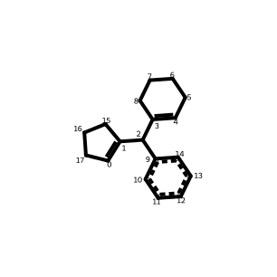 C1=C(C(C2=CCCCC2)c2ccccc2)CCC1